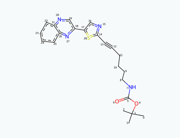 CC(C)(C)OC(=O)NCCCCC#Cc1ncc(-c2cnc3ccccc3n2)s1